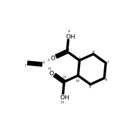 C=C.O=C(O)C1CCCCC1C(=O)O